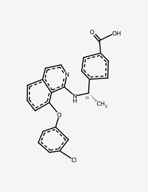 C[C@H](Nc1nccc2cccc(Oc3cccc(Cl)c3)c12)c1ccc(C(=O)O)cc1